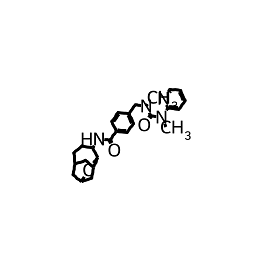 CN(Cc1ccc(C(=O)NC2CCC3CC4CC(C3)C2C4)cc1)C(=O)N(C)c1ccccn1